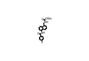 COC(=O)NCc1cccc2c(NC(=O)c3ccc(F)cc3)cccc12